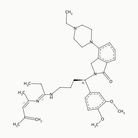 C=C(C)/C=C(C)\N=C(/CC)NCCC[C@H](c1ccc(OC)c(OC)c1)N1Cc2c(cccc2N2CCN(CC)CC2)C1=O